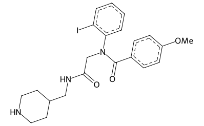 COc1ccc(C(=O)N(CC(=O)NCC2CCNCC2)c2ccccc2I)cc1